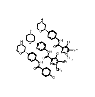 CCCc1c(Cl)c(C(=O)Nc2ccc([C@@H]3CNCCO3)nc2)nn1C.CCCc1c(Cl)c(C(=O)Nc2ccc([C@H]3CNCCO3)nc2)nn1C.O=C(Nc1ccc([C@H]2CNCCO2)nc1)c1ccc(Cl)cc1